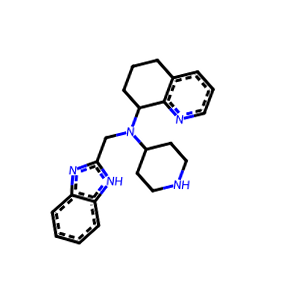 c1cnc2c(c1)CCCC2N(Cc1nc2ccccc2[nH]1)C1CCNCC1